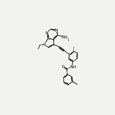 CCn1cc(C#Cc2cc(NC(=O)c3cccc(C)c3)ccc2C)c2c(N)ncnc21